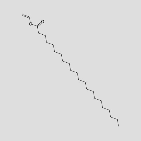 C=COC(=O)CCCCCCCCCCCCCCCCCCCCC